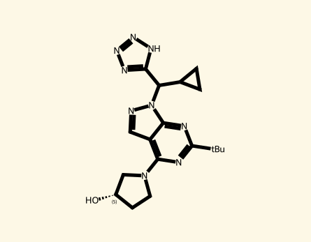 CC(C)(C)c1nc(N2CC[C@H](O)C2)c2cnn(C(c3nnn[nH]3)C3CC3)c2n1